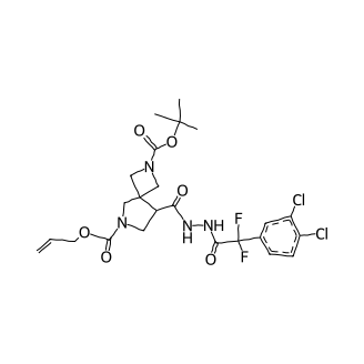 C=CCOC(=O)N1CC(C(=O)NNC(=O)C(F)(F)c2ccc(Cl)c(Cl)c2)C2(C1)CN(C(=O)OC(C)(C)C)C2